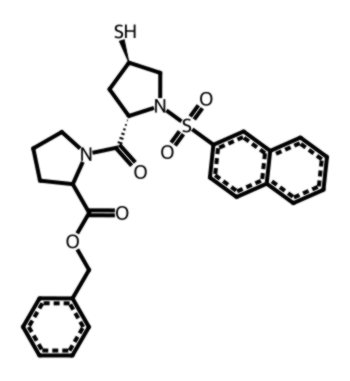 O=C(OCc1ccccc1)C1CCCN1C(=O)[C@@H]1C[C@@H](S)CN1S(=O)(=O)c1ccc2ccccc2c1